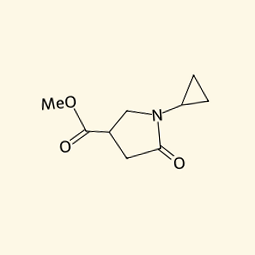 COC(=O)C1CC(=O)N(C2CC2)C1